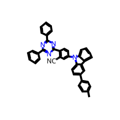 Cc1ccc(-c2ccc3c(c2)c2ccccc2n3-c2ccc(-c3nc(-c4ccccc4)nc(-c4ccccc4)n3)c(C#N)c2)cc1